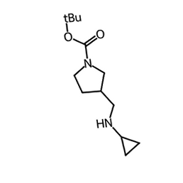 CC(C)(C)OC(=O)N1CCC(CNC2CC2)C1